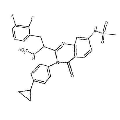 CS(=O)(=O)Nc1ccc2c(=O)n(-c3ccc(C4CC4)cc3)c(C(Cc3cccc(F)c3F)NC(=O)O)nc2c1